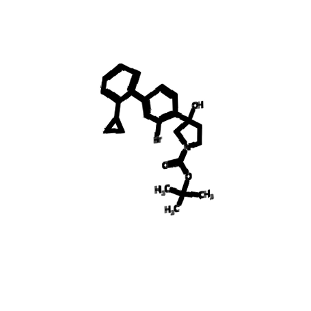 CC(C)(C)OC(=O)N1CCC(O)(c2ccc(-c3ccccc3C3CC3)cc2Br)C1